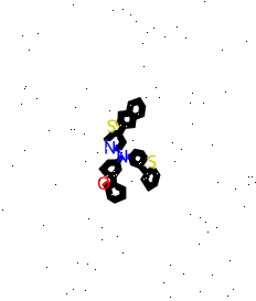 c1ccc2cc3c(cc2c1)sc1cnc(N(c2ccc4oc5ccccc5c4c2)c2ccc4sc5ccccc5c4c2)cc13